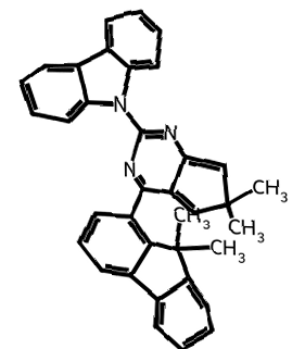 CC1(C)C=c2nc(-n3c4ccccc4c4ccccc43)nc(-c3cccc4c3C(C)(C)c3ccccc3-4)c2=C1